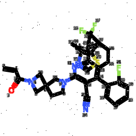 C=CC(=O)N1CC2(CCN(c3nc4c(c(-c5ccccc5F)c3C#N)CC[C@]3(c5scnc5C)[C@@H]4C3(F)F)C2)C1